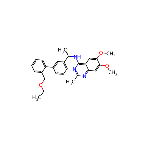 CCOCc1ccccc1-c1cccc([C@@H](C)Nc2nc(C)nc3cc(OC)c(OC)cc23)c1